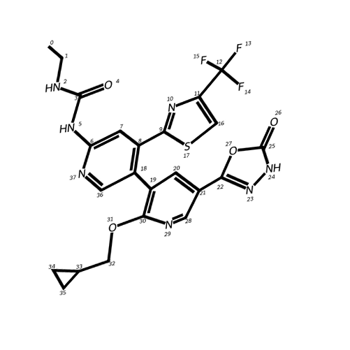 CCNC(=O)Nc1cc(-c2nc(C(F)(F)F)cs2)c(-c2cc(-c3n[nH]c(=O)o3)cnc2OCC2CC2)cn1